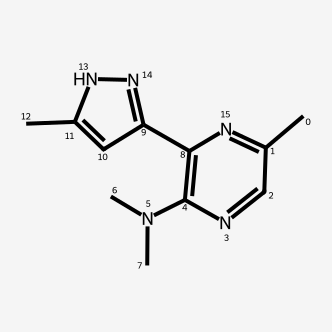 Cc1cnc(N(C)C)c(-c2cc(C)[nH]n2)n1